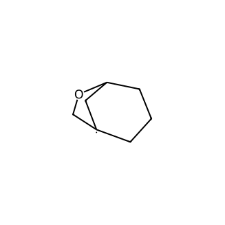 C1C[C]2COC(C1)C2